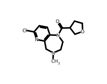 CN1CCN(C(=O)C2CCOC2)c2ccc(Cl)nc2C1